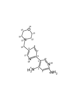 Nc1cc(N)c(-c2ccc(CN3CCOCC3)cn2)cn1